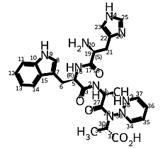 C[C@H](NC(=O)[C@@H](Cc1c[nH]c2ccccc12)NC(=O)[C@@H](N)Cc1c[nH]cn1)C(=O)N([C@@H](C)C(=O)O)N1C=CC=CN1